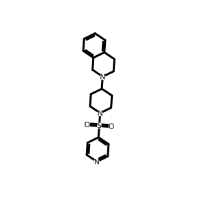 O=S(=O)(c1ccncc1)N1CCC(N2CCc3ccccc3C2)CC1